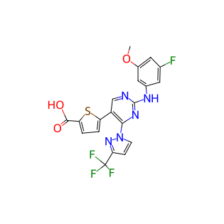 COc1cc(F)cc(Nc2ncc(-c3ccc(C(=O)O)s3)c(-n3ccc(C(F)(F)F)n3)n2)c1